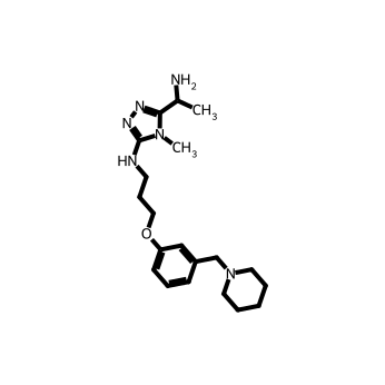 CC(N)c1nnc(NCCCOc2cccc(CN3CCCCC3)c2)n1C